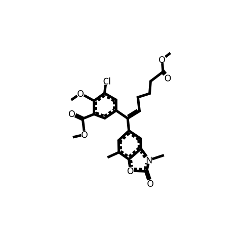 COC(=O)CCCC=C(c1cc(Cl)c(OC)c(C(=O)OC)c1)c1cc(C)c2oc(=O)n(C)c2c1